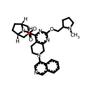 CN1CCCC1COc1nc2c(c(N3C[C@H]4CC[C@@H](C3)N4C(=O)O)n1)CCN(c1cncc3ccccc13)C2